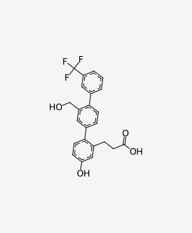 O=C(O)CCc1cc(O)ccc1-c1ccc(-c2cccc(C(F)(F)F)c2)c(CO)c1